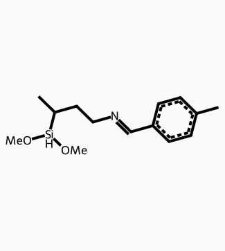 CO[SiH](OC)C(C)CCN=Cc1ccc(C)cc1